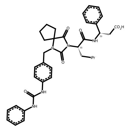 CC(C)C[C@@H](C(=O)N[C@@H](CC(=O)O)c1ccccc1)N1C(=O)N(Cc2ccc(NC(=O)Nc3ccccc3)cc2)C2(CCCC2)C1=O